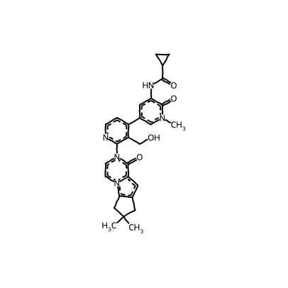 Cn1cc(-c2ccnc(-n3ccn4c5c(cc4c3=O)CC(C)(C)C5)c2CO)cc(NC(=O)C2CC2)c1=O